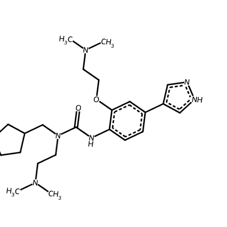 CN(C)CCOc1cc(-c2cn[nH]c2)ccc1NC(=O)N(CCN(C)C)CC1CCCC1